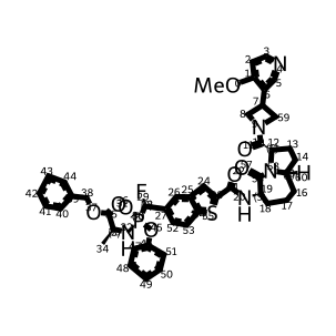 COc1ccncc1C1CN(C(=O)[C@@H]2CC[C@@H]3CCC[C@H](NC(=O)c4cc5cc([C@@H](F)[P@](=O)(N[C@@H](C)C(=O)OCc6ccccc6)Oc6ccccc6)ccc5s4)C(=O)N32)C1